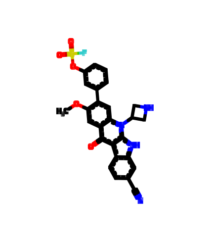 COc1cc2c(=O)c3c4ccc(C#N)cc4[nH]c3n(C3CNC3)c2cc1-c1cccc(OS(=O)(=O)F)c1